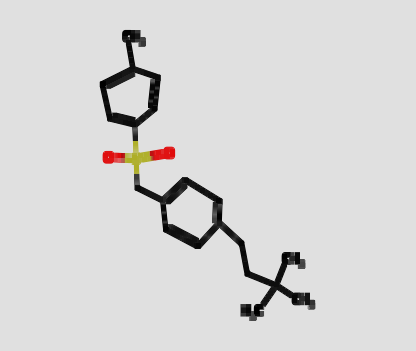 Cc1ccc(S(=O)(=O)Cc2ccc(CCC(C)(C)C)cc2)cc1